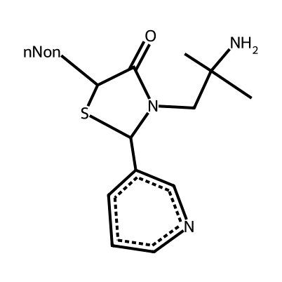 CCCCCCCCCC1SC(c2cccnc2)N(CC(C)(C)N)C1=O